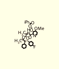 COc1ccnc(C(=O)N[C@@H](C)C(=O)O[C@@H](C)[C@H](Cc2ccc(F)cc2)c2ccccc2)c1OCOC(=O)C(C)C